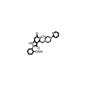 COc1ccccc1-n1[nH]c2cc(=O)n(C)c(CN3CCN(c4ccccn4)CC3)c2c1=O